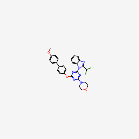 COc1ccc(-c2ccc(Oc3nc(N4CCOCC4)nc(-n4c(C(F)F)nc5ccccc54)n3)cc2)cc1